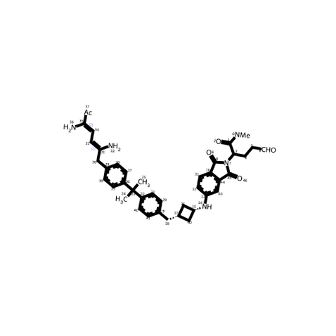 CNC(=O)C(CCC=O)N1C(=O)c2ccc(N[C@H]3C[C@@H](Cc4ccc(C(C)(C)c5ccc(C/C(N)=C/C=C(\N)C(C)=O)cc5)cc4)C3)cc2C1=O